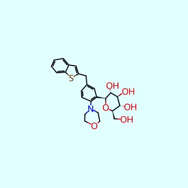 OC[C@H]1O[C@@H](c2cc(Cc3cc4ccccc4s3)ccc2N2CCOCC2)[C@H](O)[C@@H](O)[C@@H]1O